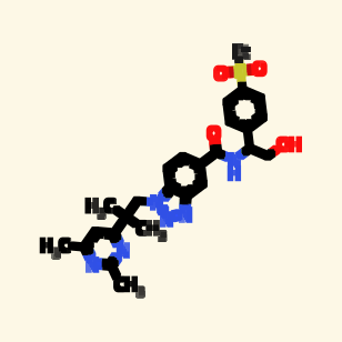 CCS(=O)(=O)c1ccc(C(CO)NC(=O)c2ccc3c(c2)nnn3CC(C)(C)c2cc(C)nc(C)n2)cc1